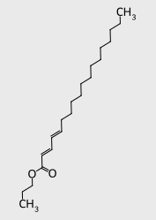 CCCCCCCCCCCCCC=CC=CC(=O)OCCC